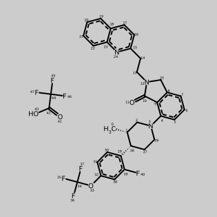 C[C@@H]1CN(c2cccc3c2C(=O)N(CCc2ccc4ccccc4n2)C3)CC[C@@H]1c1ccc(OC(F)(F)F)cc1F.O=C(O)C(F)(F)F